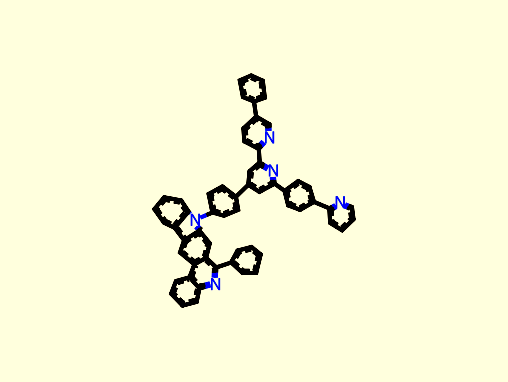 c1ccc(-c2ccc(-c3cc(-c4ccc(-n5c6ccccc6c6cc7c(cc65)c(-c5ccccc5)nc5ccccc57)cc4)cc(-c4ccc(-c5ccccn5)cc4)n3)nc2)cc1